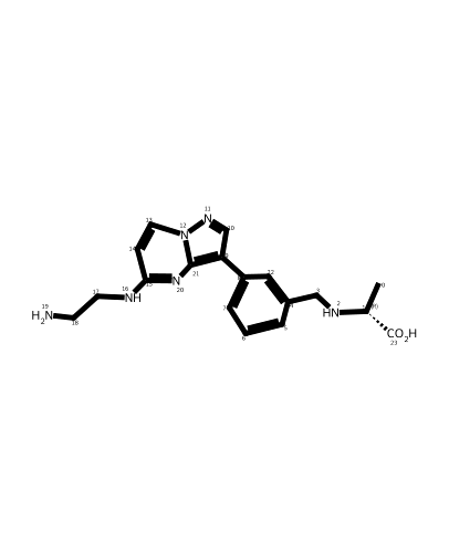 C[C@@H](NCc1cccc(-c2cnn3ccc(NCCN)nc23)c1)C(=O)O